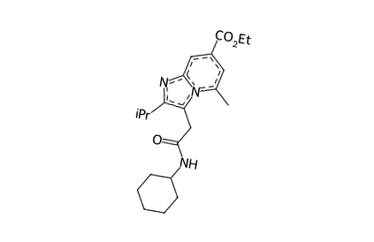 CCOC(=O)c1cc(C)n2c(CC(=O)NC3CCCCC3)c(C(C)C)nc2c1